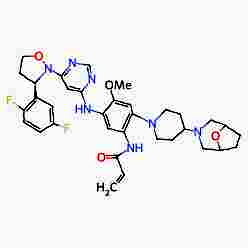 C=CC(=O)Nc1cc(Nc2cc(N3OCC[C@@H]3c3cc(F)ccc3F)ncn2)c(OC)cc1N1CCC(N2CC3CCC(C2)O3)CC1